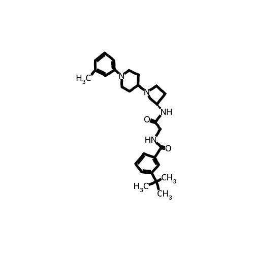 Cc1cccc(N2CCC(N3CC[C@@H](NC(=O)CNC(=O)c4cccc(C(C)(C)C)c4)C3)CC2)c1